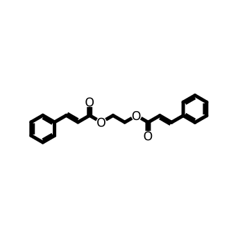 O=C(/C=C/c1ccccc1)OCCOC(=O)/C=C/c1ccccc1